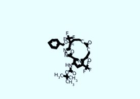 CC(C)(C)OC(=O)Nc1cc(C(F)(F)F)c2nc1-c1nnc(o1)[C@@](OCc1ccccc1)(C(F)(F)F)CCCC(=O)CCC2=O